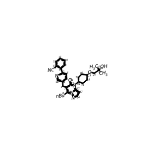 CCCCc1c(Cc2ccc(-c3ccccc3C#N)nc2)c(=O)n(C2CCC(OCC(C)(C)O)CC2)c2ccnn12